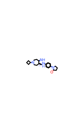 N=C1CCN(C2CCC2)CC/C1=C/Nc1ccc(N2CCCC2=O)cc1